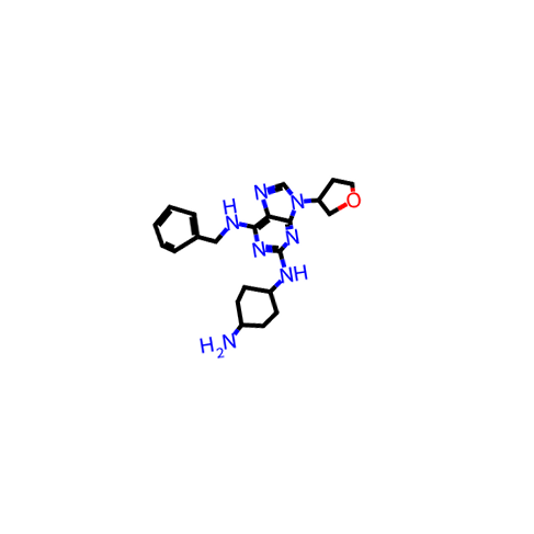 NC1CCC(Nc2nc(NCc3ccccc3)c3ncn(C4CCOC4)c3n2)CC1